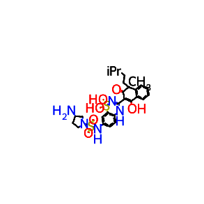 CC(C)CCC1(C)C(=O)C(C2=NS(O)(O)c3cc(NS(=O)(=O)N4CCC(N)C4)ccc3N2)=C(O)c2ccccc21